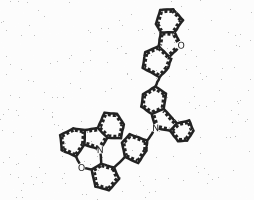 c1cc2c(c(-c3ccc(-n4c5ccccc5c5cc(-c6ccc7c(c6)oc6ccccc67)ccc54)cc3)c1)-n1c3ccccc3c3cccc(c31)O2